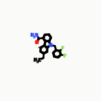 CCc1c[c]c2c3c(C(N)=O)cccc3n(Cc3cccc(F)c3F)c2c1